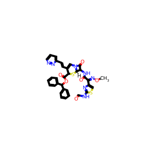 CON=C(C(=O)NC1C(=O)N2C=C(C=Cc3cccnn3)C(C(=O)OC(c3ccccc3)c3ccccc3)S[C@H]12)c1csc(NC=O)n1